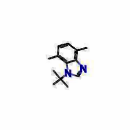 Cc1ccc(C)c2c1ncn2C(C)(C)C